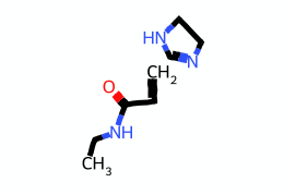 C1=NCCN1.C=CC(=O)NCC